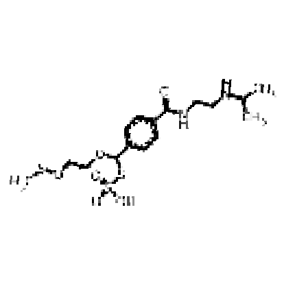 CSOCCOC(SS(=O)(=O)O)c1ccc(C(=O)NCCNC(C)C)cc1